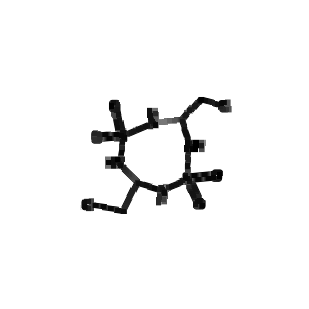 O=S1(=O)NC(CCl)NS(=O)(=O)NC(CCl)N1